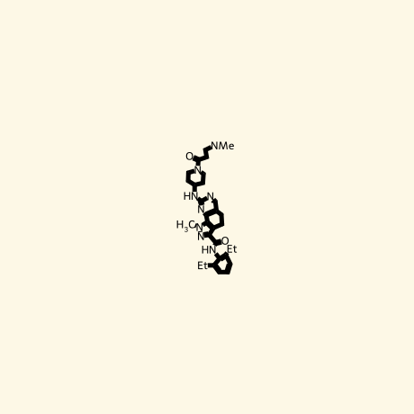 CCc1cccc(CC)c1NC(=O)c1nn(C)c2c1CCc1cnc(NC3CCN(C(=O)CCNC)CC3)nc1-2